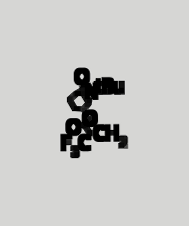 C=C(C(=O)OC1CCC2CC1N(C(C)(C)C)C2=O)C(F)(F)F